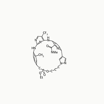 CCOP1(=O)Cc2ccc(c(C)c2)Nc2ncc(C(F)(F)F)c(n2)Nc2ccc(nc2C(=O)NC)-c2cnn(c2)CCCO1